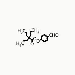 C=CCC(CC=C)(CC=C)C(=O)OOc1ccc(C=O)cc1